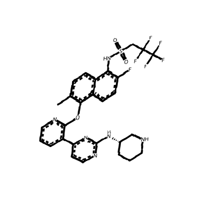 Cc1ccc2c(NS(=O)(=O)CC(F)(F)C(F)(F)F)c(F)ccc2c1Oc1ncccc1-c1ccnc(N[C@H]2CCCNC2)n1